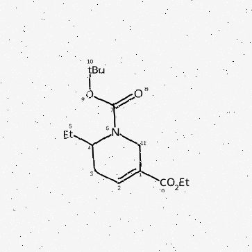 CCOC(=O)C1=CCC(CC)N(C(=O)OC(C)(C)C)C1